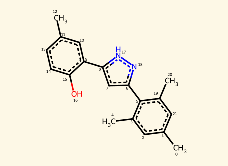 Cc1cc(C)c(-c2cc(-c3cc(C)ccc3O)[nH]n2)c(C)c1